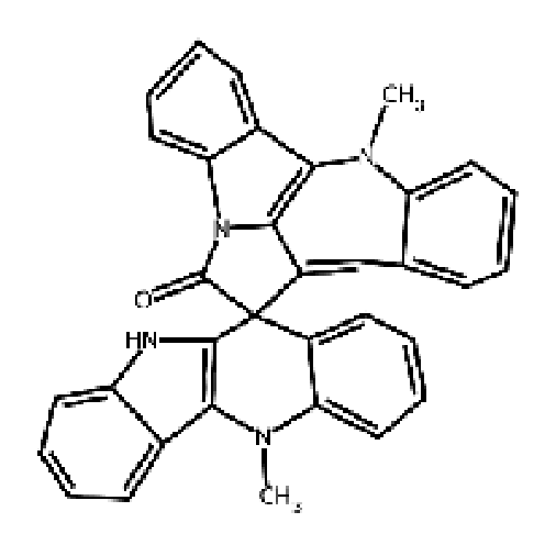 CN1c2ccccc2C2(C(=O)n3c4c(c5ccccc53)N(C)c3ccccc3C=C42)c2[nH]c3ccccc3c21